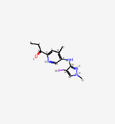 CCC(=O)c1cc(C)c(Nc2nn(C)cc2I)cn1